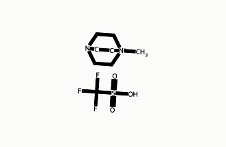 C[N+]12CCN(CC1)CC2.O=S(=O)(O)C(F)(F)F